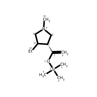 C=C(O[Si](C)(C)C)[C@H]1CN(C)CC1CC